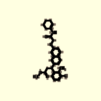 COC(=O)CC(c1ccc2ccc(OCC(=O)NC3=CCCCC3)cc2c1)c1cccc(Cl)c1C